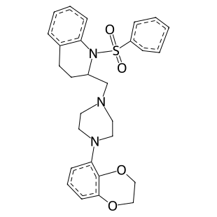 O=S(=O)(c1ccccc1)N1c2ccccc2CCC1CN1CCN(c2cccc3c2OCCO3)CC1